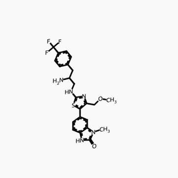 COCc1nc(NCC(N)Cc2ccc(C(F)(F)F)cc2)sc1-c1ccc2[nH]c(=O)n(C)c2c1